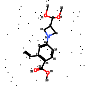 C=Cc1cc(N2CC(C(OC)OC)C2)ccc1C(=O)OC